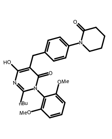 CCCCc1nc(O)c(Cc2ccc(N3CCCCC3=O)cc2)c(=O)n1-c1c(OC)cccc1OC